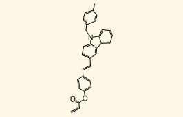 C=CC(=O)Oc1ccc(C=Cc2ccc3c(c2)c2ccccc2n3Cc2ccc(C)cc2)cc1